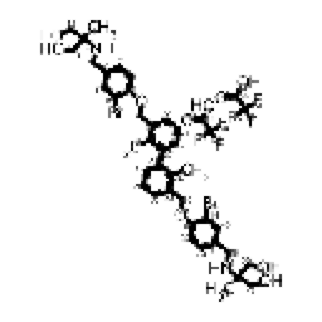 Cc1c(COc2ccc(CNC(C)(CO)CO)cc2Br)cccc1-c1cccc(COc2ccc(CNC(C)(CO)CO)cc2Br)c1C.O=C(O)C(F)(F)F.O=C(O)C(F)(F)F